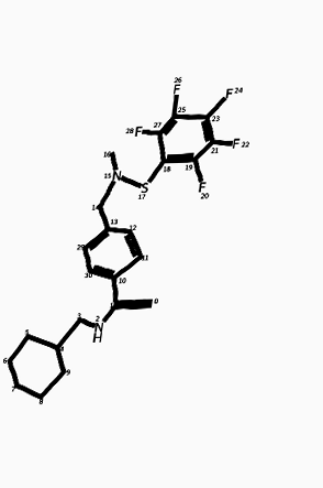 C=C(NCC1CCCCC1)c1ccc(CN(C)Sc2c(F)c(F)c(F)c(F)c2F)cc1